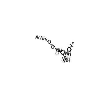 CC(=O)NCCOCCOCCNC(=O)c1ccc(Nc2ccc(C(C)(C)F)cc2)c(C2=NN(C)NN2)c1